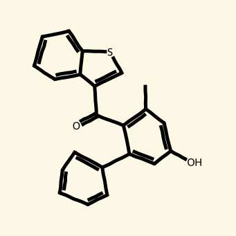 Cc1cc(O)cc(-c2ccccc2)c1C(=O)c1csc2ccccc12